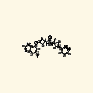 CC1(NC(=O)C2CC(Oc3cc(F)cc4scnc34)C2)CN(c2cccnn2)C1